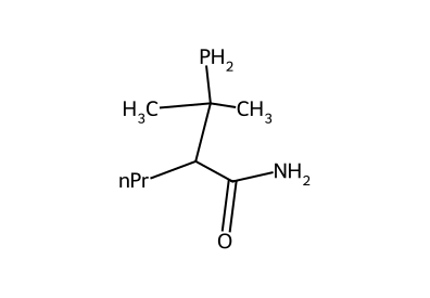 CCCC(C(N)=O)C(C)(C)P